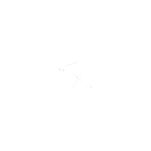 CC.C[N+](C)(C)O.N